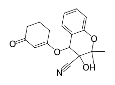 CC1(C)Oc2ccccc2C(OC2=CC(=O)CCC2)C1(O)C#N